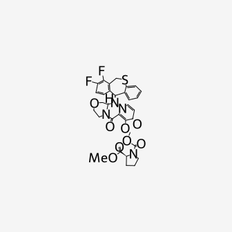 COC(=O)[C@@H]1CCCN1C(=O)OCOc1c2n(ccc1=O)N([C@@H]1c3ccccc3SCc3c1ccc(F)c3F)[C@@H]1COCCN1C2=O